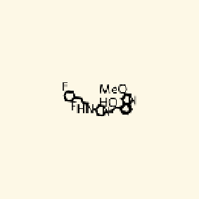 COc1cnc2cccc(C(O)CN3CCC(NCC=Cc4cc(F)ccc4F)CC3)c2c1